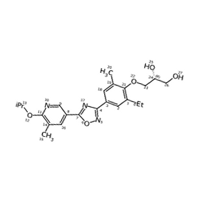 CCc1cc(-c2noc(-c3cnc(OC(C)C)c(C)c3)n2)cc(C)c1OC[C@H](O)CO